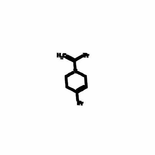 C=C(C(C)C)N1CC=C(C(C)C)CC1